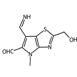 Cn1c(C=O)c(C=N)c2sc(CO)nc21